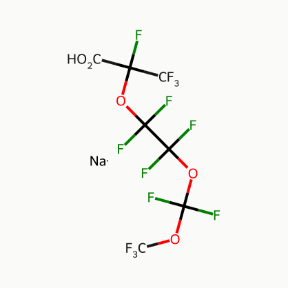 O=C(O)C(F)(OC(F)(F)C(F)(F)OC(F)(F)OC(F)(F)F)C(F)(F)F.[Na]